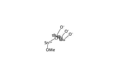 CC(C)(C)[O-].CC(C)(C)[O-].CC(C)(C)[O-].C[O][Sn+3][CH3]